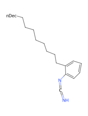 CCCCCCCCCCCCCCCCCCc1ccccc1N=C=N